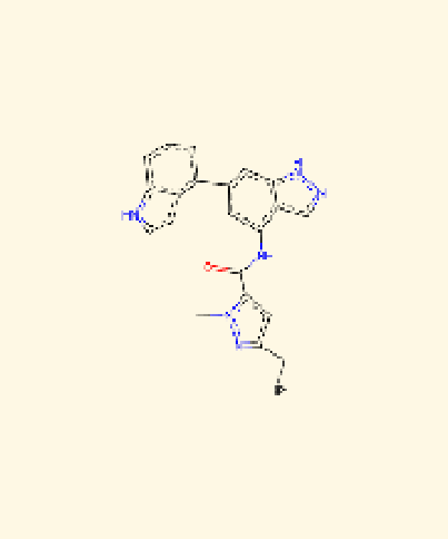 CC(C)Cc1cc(C(=O)Nc2cc(-c3cccc4[nH]ccc34)cc3[nH]ncc23)n(C)n1